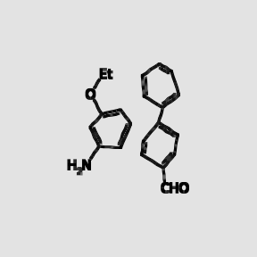 CCOc1cccc(N)c1.O=Cc1ccc(-c2ccccc2)cc1